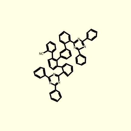 N#Cc1ccccc1-c1cccc(-c2ccccc2-c2nc(-c3ccccc3)nc(-c3ccccc3)n2)c1-c1cccc(-c2ccccc2-c2nc(-c3ccccc3)nc(-c3ccccc3)n2)c1